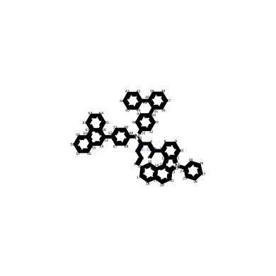 C=C/C=C(\C=C(/C)c1cccc2c1c1c3ccccc3ccc1n2-c1ccccc1)N(c1ccc(-c2ccccc2-c2ccccc2)cc1)c1ccc(-c2cc3ccccc3c3ccccc23)cc1